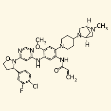 C=CC(=O)Nc1cc(Nc2cc(N3OCC[C@@H]3c3ccc(Cl)c(F)c3)ncn2)c(OC)cc1N1CCC(N2C[C@@H]3C[C@H]2CN3C)CC1